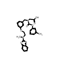 Cc1cccc(OC(=O)N(CC(=O)O)Cc2cccc(OCCN(C)c3nc4ccccc4o3)c2)c1